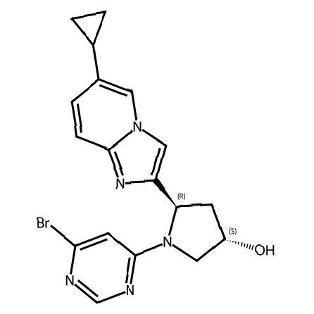 O[C@H]1C[C@H](c2cn3cc(C4CC4)ccc3n2)N(c2cc(Br)ncn2)C1